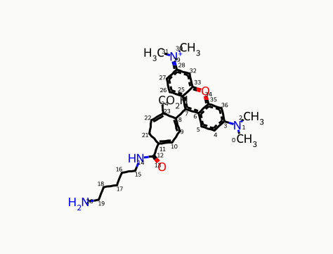 CN(C)c1ccc2c(C3=CC=C(C(=O)NCCCCCN)CC=C3C(=O)O)c3ccc(=[N+](C)C)cc-3oc2c1